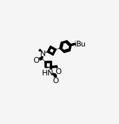 CCC(C)c1ccc([C@H]2C[C@@H](N(C)C(=O)[C@H]3C[C@]4(COC(=O)N4)C3)C2)cc1